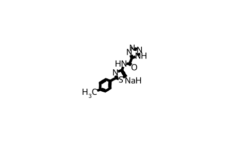 Cc1ccc(-c2nc(NC(=O)c3nnn[nH]3)cs2)cc1.[NaH]